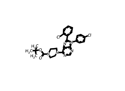 CC(C)(C)OC(=O)N1CCN(c2ncnc3c2nc(-c2ccccc2Cl)n3-c2ccc(Cl)cc2)CC1